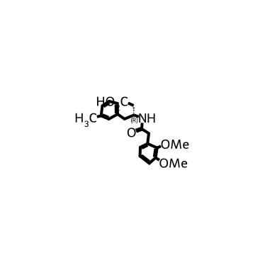 COc1cccc(CC(=O)N[C@@H](CC(=O)O)Cc2cccc(C)c2)c1OC